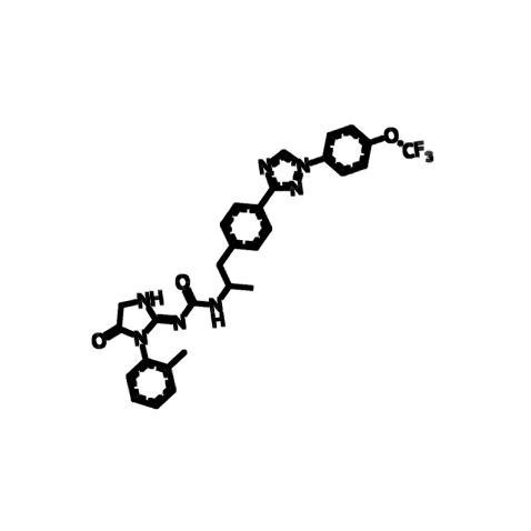 Cc1ccccc1N1C(=O)CN/C1=N\C(=O)NC(C)Cc1ccc(-c2ncn(-c3ccc(OC(F)(F)F)cc3)n2)cc1